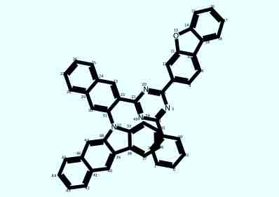 c1ccc(-c2nc(-c3ccc4c(c3)oc3ccccc34)nc(-c3cc4ccccc4cc3-n3c4ccccc4c4cc5ccccc5cc43)n2)cc1